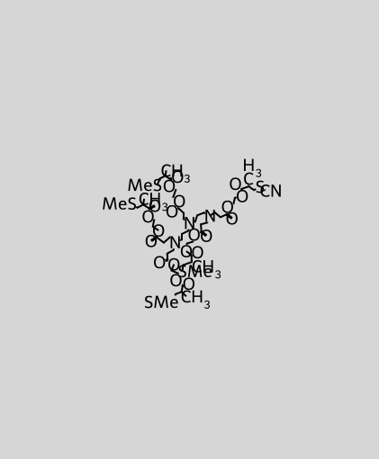 CSCC(C)C(=O)OCCOC(=O)CCN(CCCN(CCC(=O)OCCOC(=O)C(C)CSC)CCC(=O)OCCOC(=O)C(C)CSC)CCCN(CCC(=O)OCCOC(=O)C(C)CSC)CCC(=O)OCCOC(=O)C(C)CSC#N